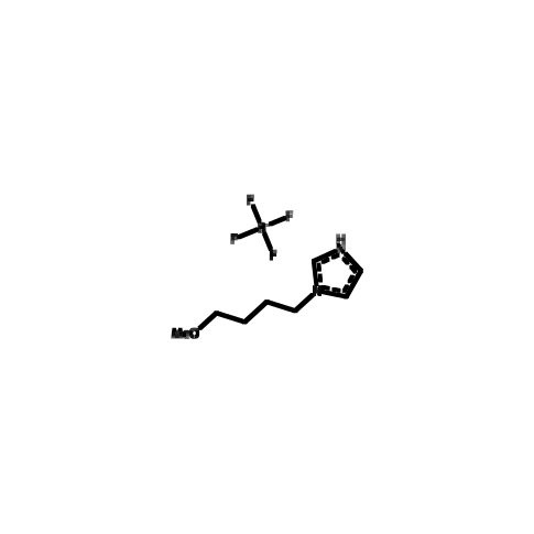 COCCCC[n+]1cc[nH]c1.F[B-](F)(F)F